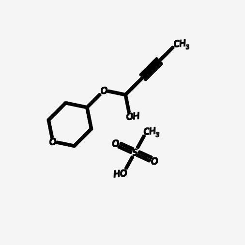 CC#CC(O)OC1CCOCC1.CS(=O)(=O)O